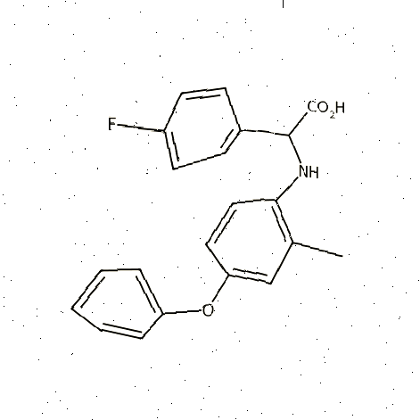 Cc1cc(Oc2ccccc2)ccc1NC(C(=O)O)c1ccc(F)cc1